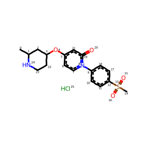 CC1CC(Oc2ccn(-c3ccc(S(C)(=O)=O)cc3)c(=O)c2)CCN1.Cl